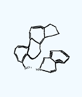 C1=Cc2ccccc2C=CN1.O=[N+]([O-])c1cccc2c1CCc1c-2ccc2c1CCCC2